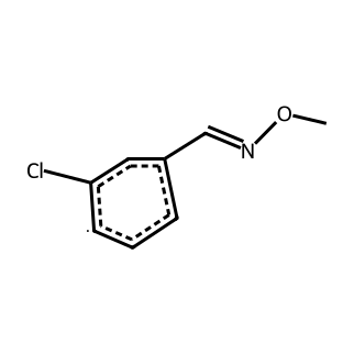 CON=Cc1cc[c]c(Cl)c1